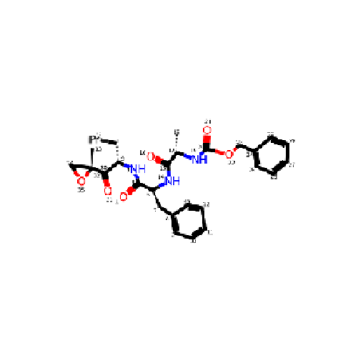 CC(C)C[C@H](NC(=O)[C@H](Cc1ccccc1)NC(=O)[C@H](C)NC(=O)OCc1ccccc1)C(=O)[C@@]1(C)CO1